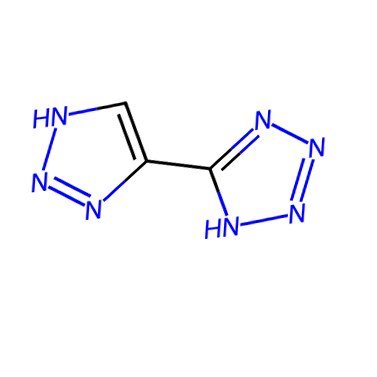 c1[nH]nnc1-c1nnn[nH]1